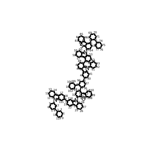 c1ccc(-c2cccc(-n3c4ccccc4c4ccc(-c5ccc6c7ccccc7n(-c7ccc(-c8ccc(-c9ccc%10c(c9)c9cccc(-c%11cccc%12c%11c%11ccccc%11n%12-c%11ccc(-c%12ccccc%12-c%12ccccc%12)c%12c%11sc%11ccccc%11%12)c9n%10-c9ccccc9)cc8-c8ccccc8)c8c7oc7ccccc78)c6c5)cc43)c2)cc1